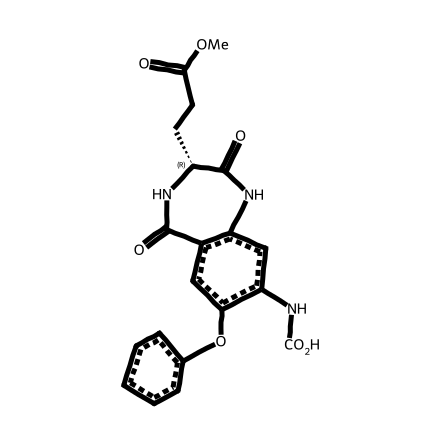 COC(=O)CC[C@H]1NC(=O)c2cc(Oc3ccccc3)c(NC(=O)O)cc2NC1=O